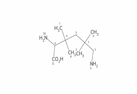 CC(C)(CN)CC(C)(C)C(N)C(=O)O